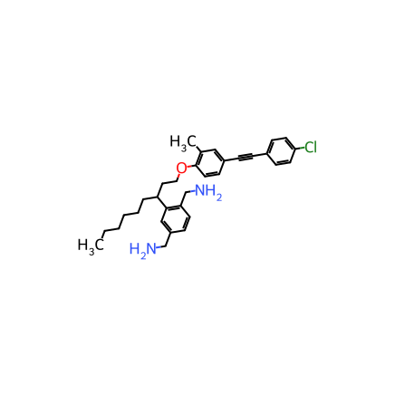 CCCCCCC(CCOc1ccc(C#Cc2ccc(Cl)cc2)cc1C)c1cc(CN)ccc1CN